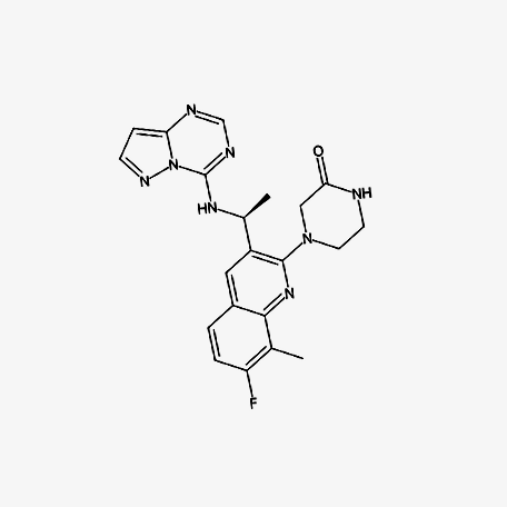 Cc1c(F)ccc2cc([C@H](C)Nc3ncnc4ccnn34)c(N3CCNC(=O)C3)nc12